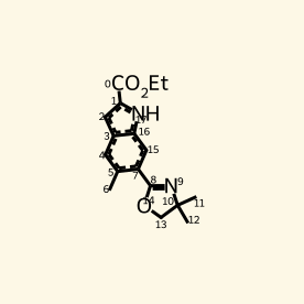 CCOC(=O)c1cc2cc(C)c(C3=NC(C)(C)CO3)cc2[nH]1